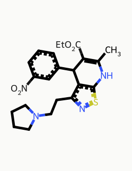 CCOC(=O)C1=C(C)Nc2snc(CCN3CCCC3)c2C1c1cccc([N+](=O)[O-])c1